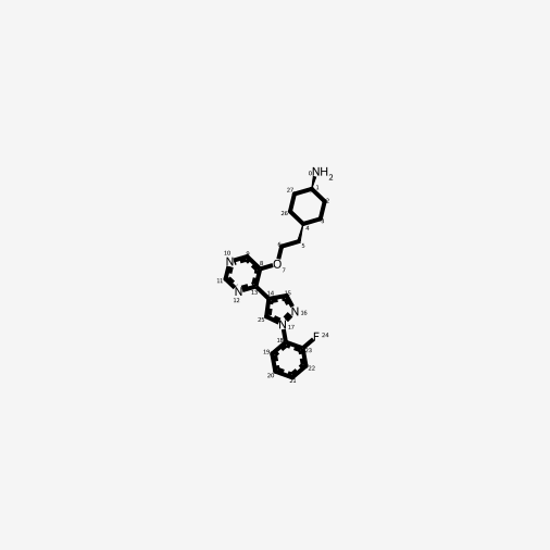 N[C@H]1CC[C@@H](CCOc2cncnc2-c2cnn(-c3ccccc3F)c2)CC1